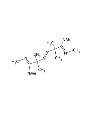 C/N=C(\NC)C(C)(C)/N=N/C(C)(C)/C(=N/C)NC